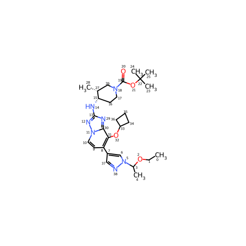 CCOC(C)n1cc(-c2ccn3nc(N[C@H]4CCN(C(=O)OC(C)(C)C)C[C@H]4C)nc3c2OC2CCC2)cn1